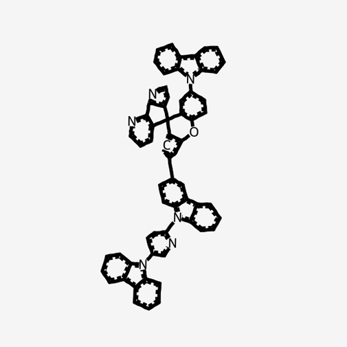 c1cnc2c(c1)C1(c3ccc(-c4ccc5c(c4)c4ccccc4n5-c4ccc(-n5c6ccccc6c6ccccc65)cn4)cc3Oc3ccc(-n4c5ccccc5c5ccccc54)cc31)c1cccnc1-2